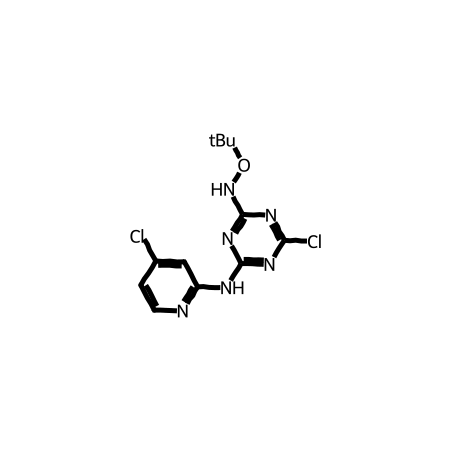 CC(C)(C)ONc1nc(Cl)nc(Nc2cc(Cl)ccn2)n1